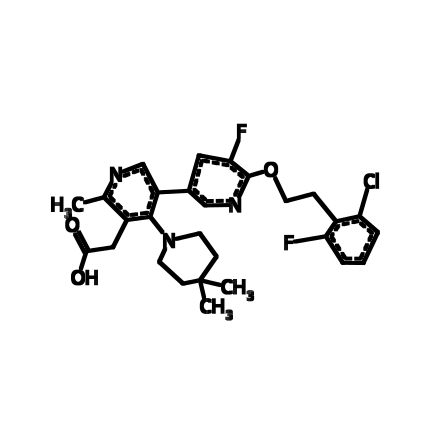 Cc1ncc(-c2cnc(OCCc3c(F)cccc3Cl)c(F)c2)c(N2CCC(C)(C)CC2)c1CC(=O)O